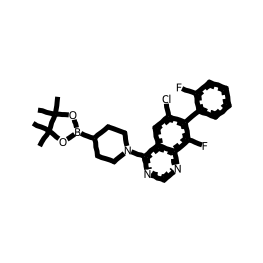 CC1(C)OB(C2CCN(c3ncnc4c(F)c(-c5ccccc5F)c(Cl)cc34)CC2)OC1(C)C